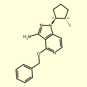 C[C@H]1CCC[C@@H]1n1nc(N)c2c(OCc3ccccc3)nccc21